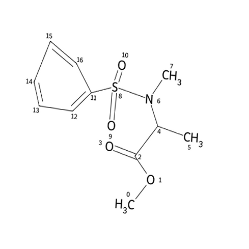 COC(=O)C(C)N(C)S(=O)(=O)c1ccccc1